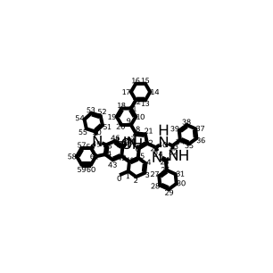 CC1CC=CC(c2[nH]c(C3C=C(C4=CCCCC4)C=CC3)cc2C2N=C(C3=CC=CCC3)NC(c3ccccc3)N2)=C1c1cc2c(cc1O)N(C1=CC=CCC1)C1C=CC#CC21